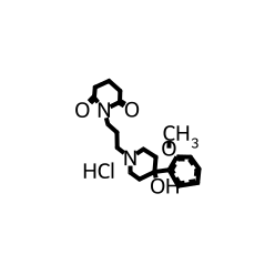 COc1ccccc1C1(O)CCN(CCCN2C(=O)CCCC2=O)CC1.Cl